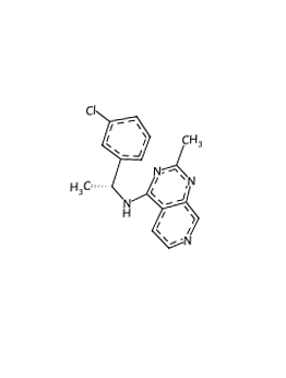 Cc1nc(N[C@H](C)c2cccc(Cl)c2)c2ccncc2n1